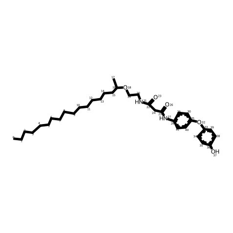 CCCCCCCCCCCCCCCCC(C)OCCNC(=O)CC(=O)Nc1ccc(Oc2ccc(O)cc2)cc1